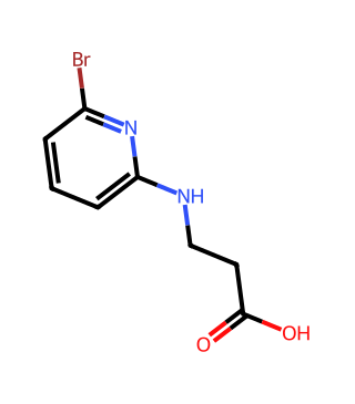 O=C(O)CCNc1cccc(Br)n1